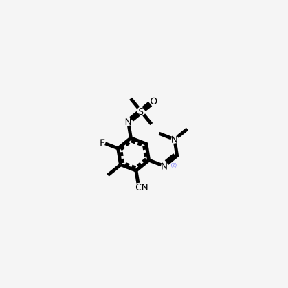 Cc1c(F)c(N=S(C)(C)=O)cc(/N=C\N(C)C)c1C#N